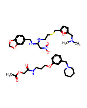 CC(=O)OCC(=O)NCCCOc1cccc(CN2CCCCC2)c1.CN(C)Cc1ccc(CSCCNC(C[N+](=O)[O-])NCc2ccc3c(c2)OCO3)o1